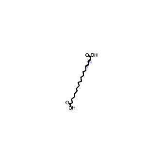 O=C(O)/C=C/C=C/CCCCCCCCCCCCCC(=O)O